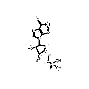 O=c1[nH]cnc2c1ncn2C1O[C@H](COP(=O)(O)O)[C@@H](O)[C@H]1O